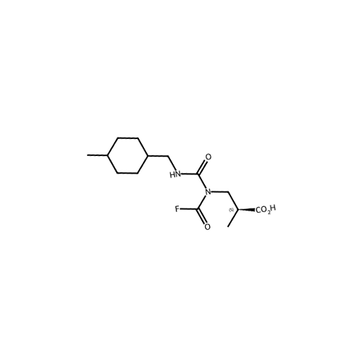 CC1CCC(CNC(=O)N(C[C@H](C)C(=O)O)C(=O)F)CC1